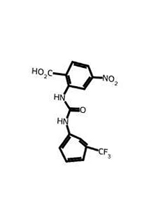 O=C(Nc1cccc(C(F)(F)F)c1)Nc1cc([N+](=O)[O-])ccc1C(=O)O